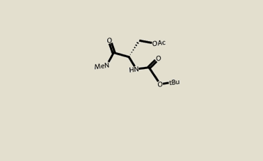 CNC(=O)[C@H](COC(C)=O)NC(=O)OC(C)(C)C